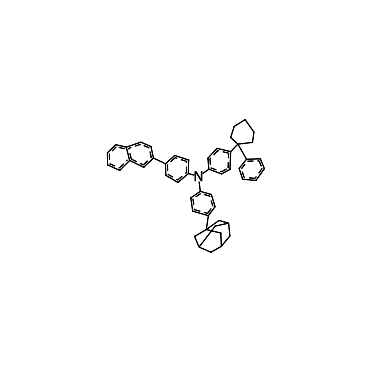 c1ccc(C2(c3ccc(N(c4ccc(-c5ccc6ccccc6c5)cc4)c4ccc(C56CC7CC(CC(C7)C5)C6)cc4)cc3)CCCCC2)cc1